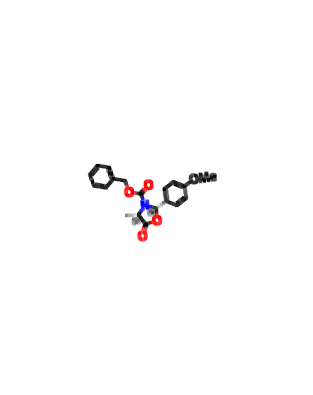 COc1ccc([C@@H]2OC(=O)[C@H](C)N2C(=O)OCc2ccccc2)cc1